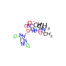 Cc1nc(C)c(-n2nc(OCCCn3nc(Cl)c4cnc(Cl)nc43)c([N+](=O)[O-])c2C)o1